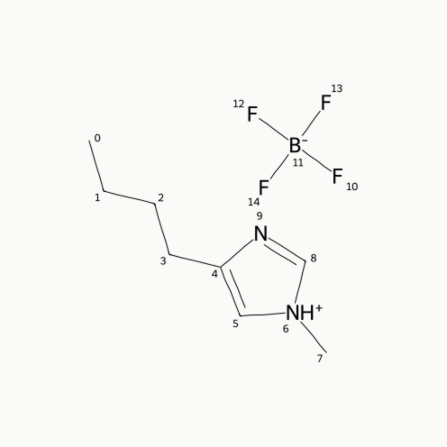 CCCCC1=C[NH+](C)C=N1.F[B-](F)(F)F